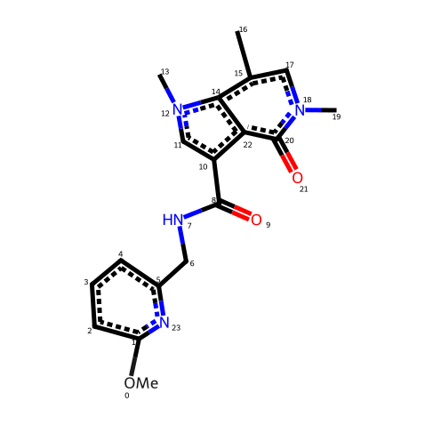 COc1cccc(CNC(=O)c2cn(C)c3c(C)cn(C)c(=O)c23)n1